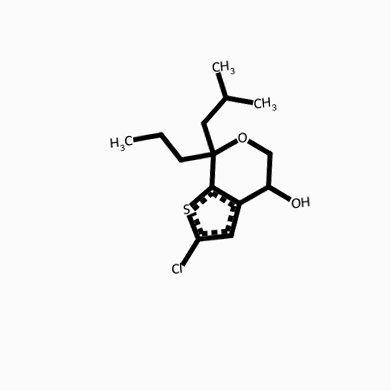 CCCC1(CC(C)C)OCC(O)c2cc(Cl)sc21